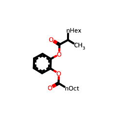 CCCCCCCCC(=O)Oc1ccccc1OC(=O)C(C)CCCCCC